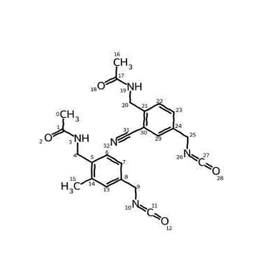 CC(=O)NCc1ccc(CN=C=O)cc1C.CC(=O)NCc1ccc(CN=C=O)cc1C#N